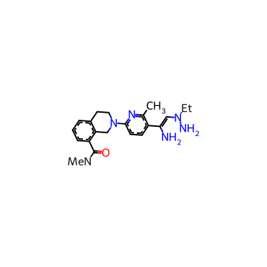 CCN(N)/C=C(\N)c1ccc(N2CCc3cccc(C(=O)NC)c3C2)nc1C